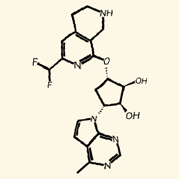 Cc1ncnc2c1ccn2[C@@H]1C[C@H](Oc2nc(C(F)F)cc3c2CNCC3)[C@@H](O)[C@H]1O